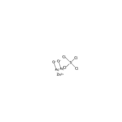 CC(=O)[O-].CC(=O)[O-].[Cl][Ti]([Cl])([Cl])[Cl].[Zn+2]